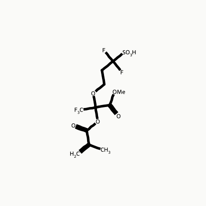 C=C(C)C(=O)OC(OCCC(F)(F)S(=O)(=O)O)(C(=O)OC)C(F)(F)F